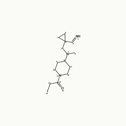 CN(CC1(C=N)CC1)C1CCN(C(=O)CI)CC1